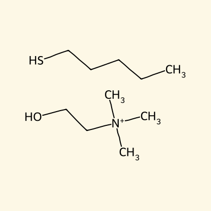 CCCCCS.C[N+](C)(C)CCO